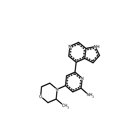 CC1COCCN1c1cc(N)nc(-c2cncc3[nH]ccc23)c1